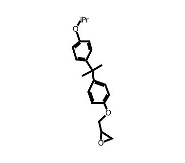 CC(C)Oc1ccc(C(C)(C)c2ccc(OCC3CO3)cc2)cc1